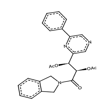 CC(=O)O[C@@H](C(=O)N1Cc2ccccc2C1)[C@@H](OC(C)=O)c1cncc(-c2ccccc2)n1